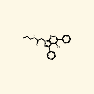 CCCNC(=O)Cn1nc(-c2ccccc2)c2c(Cl)c(-c3ccccc3)nnc21